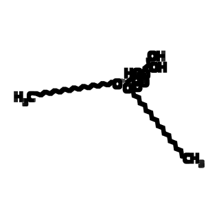 CCCCCCCCCCCCCCCCCCOC[C@H](COP(=O)(O)OC[C@@H](O)CO)OC(=O)CCCCCCCCCCCCCCCCCC